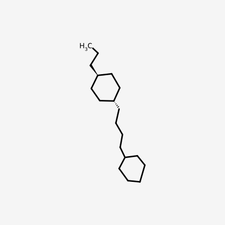 CCC[C@H]1CC[C@H](CCCCC2CCCCC2)CC1